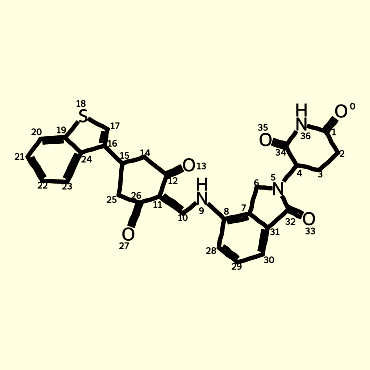 O=C1CCC(N2Cc3c(NC=C4C(=O)CC(c5csc6ccccc56)CC4=O)cccc3C2=O)C(=O)N1